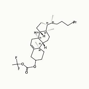 CC(C)CCC[C@@H](C)[C@H]1CC[C@H]2[C@@H]3CC=C4CC(OC(=O)OC(C)(F)F)CC[C@]4(C)[C@H]3CC[C@]12C